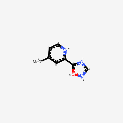 COc1ccnc(-c2ncno2)c1